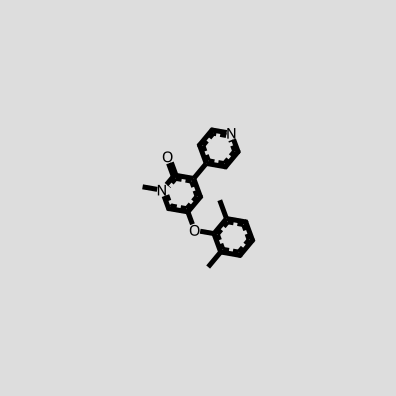 Cc1cccc(C)c1Oc1cc(-c2ccncc2)c(=O)n(C)c1